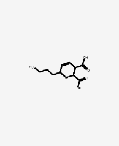 CCCCC1C=CC(C(=O)O)C(C(=O)O)C1